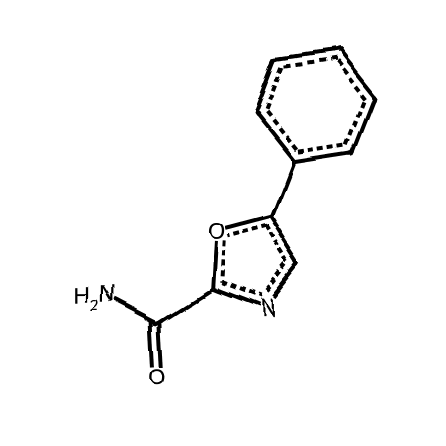 NC(=O)c1ncc(-c2ccccc2)o1